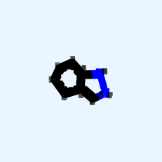 [c]1cccc2c1=C[N]N=2